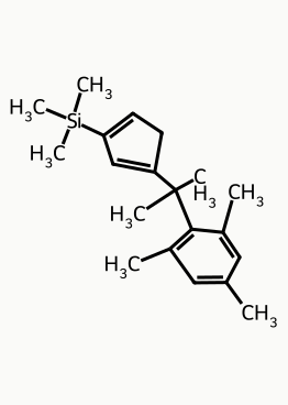 Cc1cc(C)c(C(C)(C)C2=CC([Si](C)(C)C)=CC2)c(C)c1